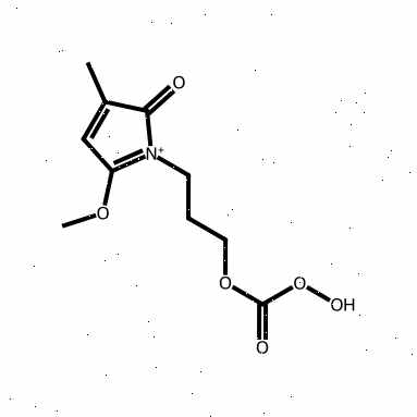 COC1=[N+](CCCOC(=O)OO)C(=O)C(C)=C1